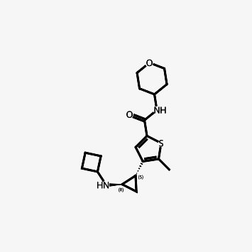 Cc1sc(C(=O)NC2CCOCC2)cc1[C@@H]1C[C@H]1NC1CCC1